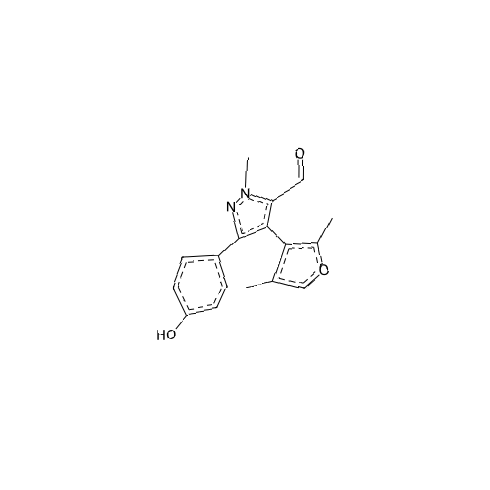 Cc1coc(C)c1-c1c(-c2ccc(O)cc2)nn(C)c1C=O